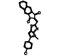 Cn1c(-c2ccc(Cl)cc2)cc2sc(C=C3C(=O)c4cc5ccccc5cc4C3=O)nc21